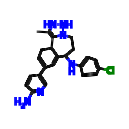 CC1=C2C3CC=C(c4ccc(N)nc4)C=C3C(Nc3ccc(Cl)cc3)CCN2NN1